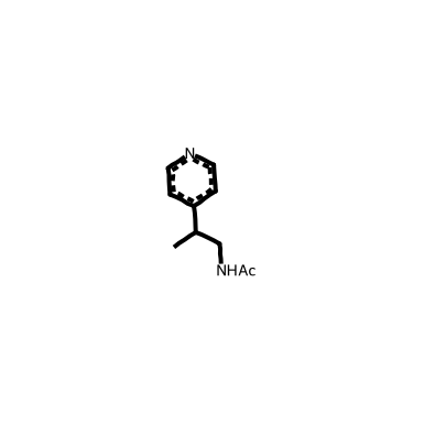 CC(=O)NCC(C)c1ccncc1